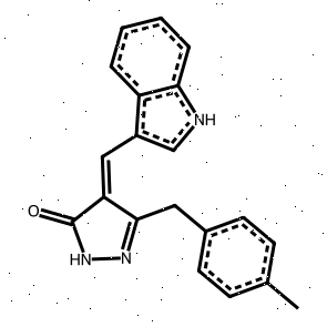 Cc1ccc(CC2=NNC(=O)C2=Cc2c[nH]c3ccccc23)cc1